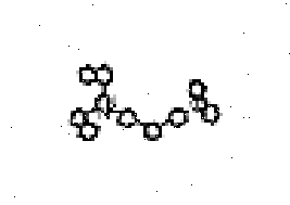 c1cc(-c2ccc(-c3nc(-c4cccc5ccccc45)cc(-c4cccc5ccccc45)n3)cc2)cc(-c2ccc(-n3c4ccccc4c4ccccc43)cc2)c1